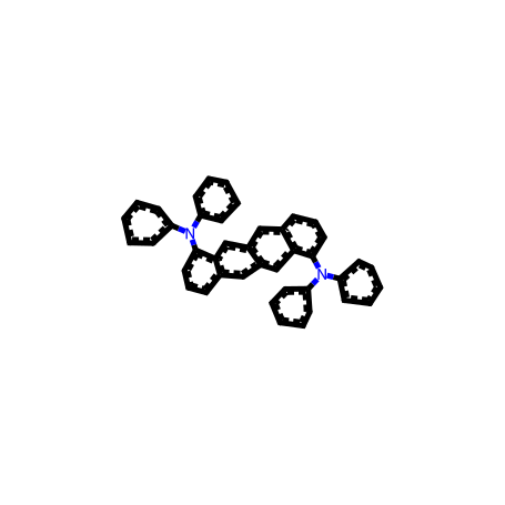 c1ccc(N(c2ccccc2)c2cccc3cc4cc5c(N(c6ccccc6)c6ccccc6)cccc5cc4cc23)cc1